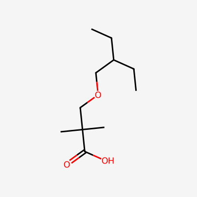 CCC(CC)COCC(C)(C)C(=O)O